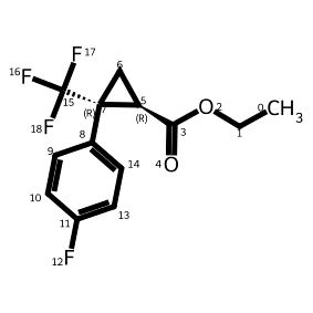 CCOC(=O)[C@@H]1C[C@@]1(c1ccc(F)cc1)C(F)(F)F